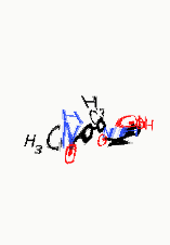 CCNC(=O)c1ccc(-c2cc(NC(=O)C3(c4ccc(O)c(O)c4)CC3)ccc2C)cc1